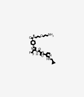 CN(CCCOCCCN)C(=O)[C@H]1CC[C@H](n2cc(NC(=O)c3coc(-c4ccnc(NCC5CC5)c4)n3)c(C(F)F)n2)CC1